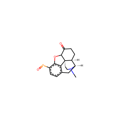 CN1CC[C@]23c4c5ccc(P=O)c4OC2C(=O)CC[C@H]3[C@H]1C5